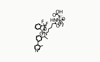 CCS(=O)(=O)N(NC(=O)CCCCN(C(C)c1cccc(-c2ccncc2C)c1)S(=O)(=O)c1ccccc1C(F)(F)F)[C@@H](C)C(=O)O